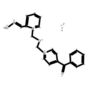 O=C(c1ccccc1)c1cc[n+](COC[n+]2ccccc2C=NO)cc1.[I-].[I-]